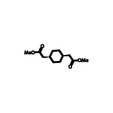 COC(=O)C[C@H]1CC[C@H](CC(=O)OC)CC1